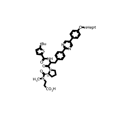 CCCCCCCOc1ccc(-c2cnc(-c3ccc(CC(NC(=O)c4ccc(C(C)(C)C)s4)C(=O)N4CCC[C@H]4C(=O)N(C)CCC(=O)O)cc3)nc2)cc1